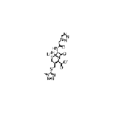 Cn1nnnc1SCC1=C(C(=O)[O-])N2C(=O)C(NC(=O)Cn3cnnn3)[C@H]2SC1.[Li+]